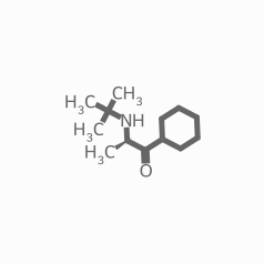 C[C@@H](NC(C)(C)C)C(=O)C1CCCCC1